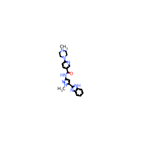 CN1CCN(c2ccc(C(=O)Nc3cc(-c4nc5ccccc5[nH]4)n(C)n3)cn2)CC1